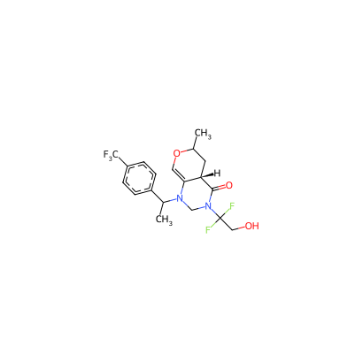 CC1C[C@@H]2C(=O)N(C(F)(F)CO)CN(C(C)c3ccc(C(F)(F)F)cc3)C2=CO1